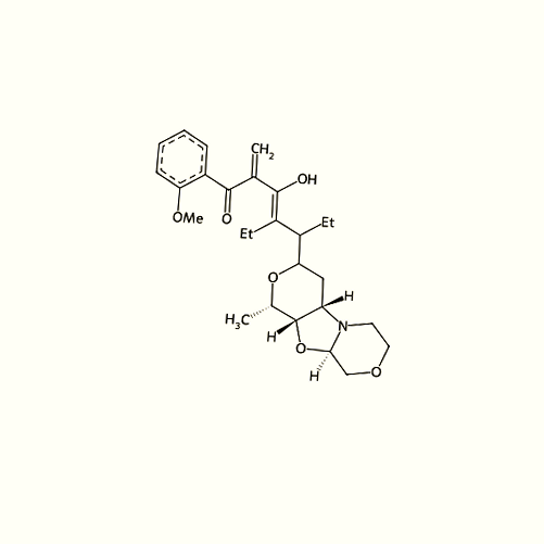 C=C(C(=O)c1ccccc1OC)/C(O)=C(\CC)C(CC)C1C[C@H]2[C@H](O[C@@H]3COCCN32)[C@H](C)O1